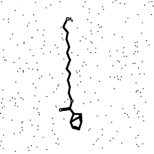 CCCCCCCCCCCCOC(=O)C1C=C2C=CC1C2